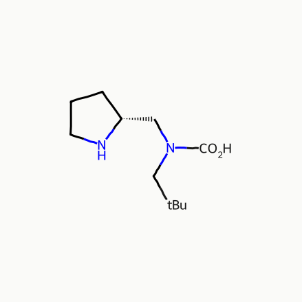 CC(C)(C)CN(C[C@H]1CCCN1)C(=O)O